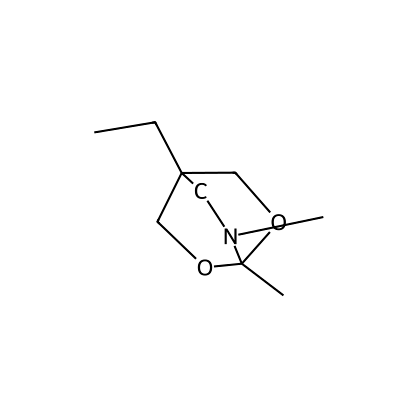 CCC12COC(C)(OC1)N(C)C2